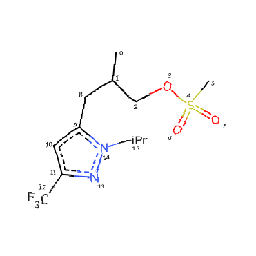 CC(COS(C)(=O)=O)Cc1cc(C(F)(F)F)nn1C(C)C